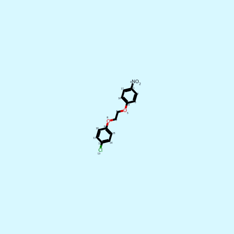 O=[N+]([O-])c1ccc(OCCOc2ccc(Cl)cc2)cc1